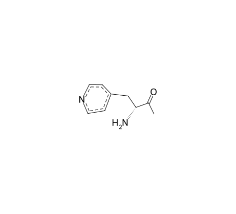 CC(=O)[C@H](N)Cc1ccncc1